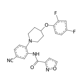 N#Cc1ccc(N2CCC(Oc3ccc(F)cc3F)CC2)c(NC(=O)c2ccon2)c1